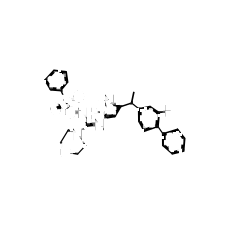 CC(c1ccc(-c2ccccc2)c(F)c1)c1cc(N=C(NOS(=O)(=O)c2ccccc2)N2CCOCC2)on1